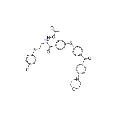 CC(=O)O/N=C(/CCSc1ccc(Cl)cc1)C(=O)c1ccc(Sc2ccc(C(=O)c3ccc(N4CCOCC4)cc3)cc2)cc1